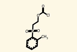 Cc1ccccc1S(=O)(=O)CCOC(=O)Cl